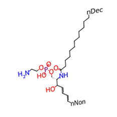 CCCCCCCCC/C=C/C=C/[C@@H](O)[C@H](COP(=O)(O)OCCN)NC(=O)CCCCCCCCCCCCCCCCCCCCC